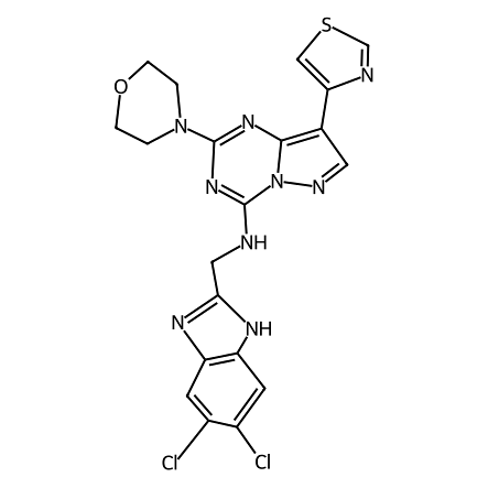 Clc1cc2nc(CNc3nc(N4CCOCC4)nc4c(-c5cscn5)cnn34)[nH]c2cc1Cl